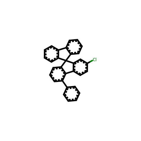 Clc1ccc2c(c1)C1(c3ccccc3-c3ccccc31)c1cccc(-c3ccccc3)c1-2